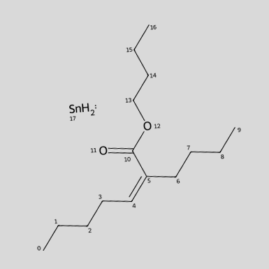 CCCCC=C(CCCC)C(=O)OCCCC.[SnH2]